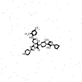 CCc1c(N2CCN(c3cnn(C4CCCC4)c3O)[C@H](C)C2)c(=O)n2nc(N3CCNCC3)nc2n1CC(=O)Nc1ccc(C(F)(F)F)cc1C